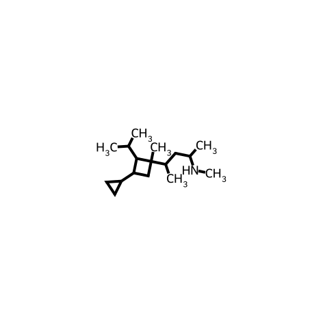 CNC(C)CC(C)C1(C)CC(C2CC2)C1C(C)C